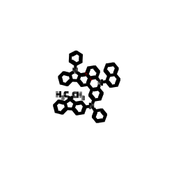 CC1(C)c2ccccc2-c2ccc(N(c3ccccc3)c3ccc(N(c4ccccc4)c4cccc5ccccc45)c(-c4ccc5c(c4)c4ccccc4n5-c4ccccc4)c3)cc21